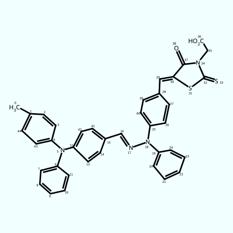 Cc1ccc(N(c2ccccc2)c2ccc(/C=N/N(c3ccccc3)c3ccc(/C=C4\SC(=S)N(CC(=O)O)C4=O)cc3)cc2)cc1